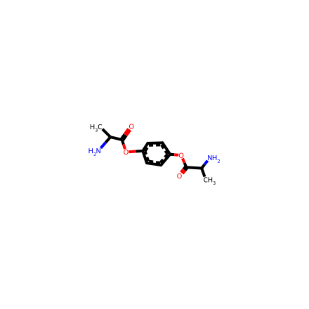 CC(N)C(=O)Oc1ccc(OC(=O)C(C)N)cc1